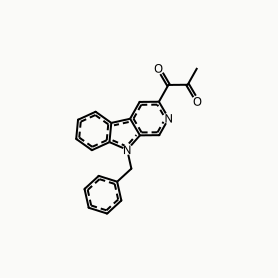 CC(=O)C(=O)c1cc2c3ccccc3n(Cc3ccccc3)c2cn1